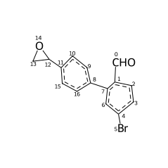 O=Cc1ccc(Br)cc1-c1ccc(C2CO2)cc1